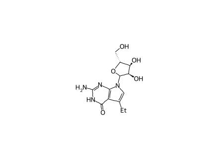 CCc1cn(C2O[C@H](CO)[C@@H](O)[C@H]2O)c2nc(N)[nH]c(=O)c12